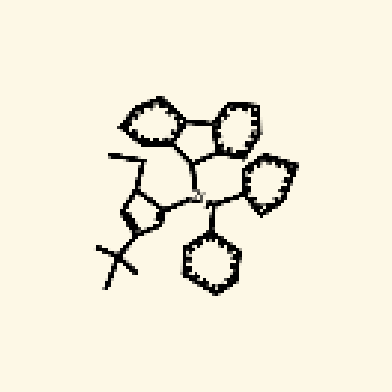 CCC1C=C(C(C)(C)C)C=[C]1[Zr](=[C](c1ccccc1)c1ccccc1)[CH]1c2ccccc2-c2ccccc21